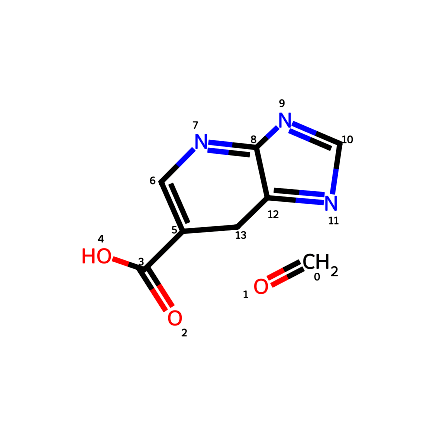 C=O.O=C(O)C1=CN=C2N=CN=C2C1